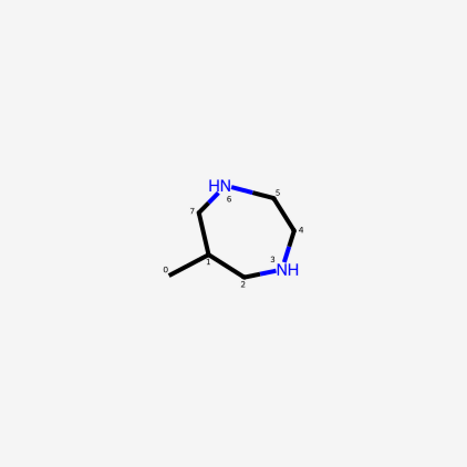 CC1CNCCNC1